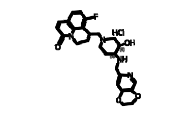 Cl.O=c1ccc2ccc(F)c3c2n1CCC3CN1CC[C@H](NCc2cc3c(cn2)OCCO3)[C@H](O)C1